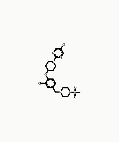 CS(=O)(=O)N1CCN(Cc2ccc(OC3CCN(c4ncc(Cl)cn4)CC3)c(Cl)c2)CC1